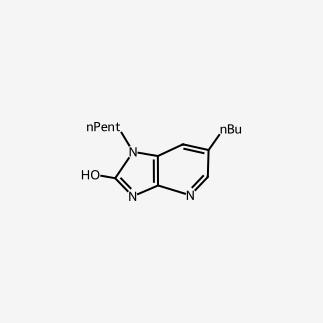 CCCCCn1c(O)nc2ncc(CCCC)cc21